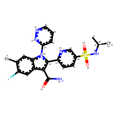 CCc1cc2c(cc1F)c(C(N)=O)c(-c1ccc(S(=O)(=O)N[C@@H](C)C(F)(F)F)cn1)n2-c1cccnn1